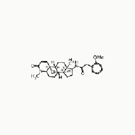 COc1ccccc1CC(=O)NC1CC[C@H]2[C@@H]3CCC4N(C)C(=O)C=C[C@]4(C)[C@@H]3CC[C@]12C